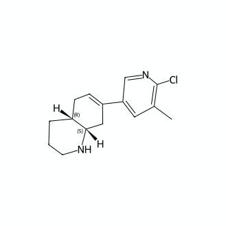 Cc1cc(C2=CC[C@H]3CCCN[C@H]3C2)cnc1Cl